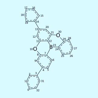 c1ccc(-c2ccc3c(c2)Oc2cc(-c4ccccc4)cc4c2B3c2ccccc2O4)cc1